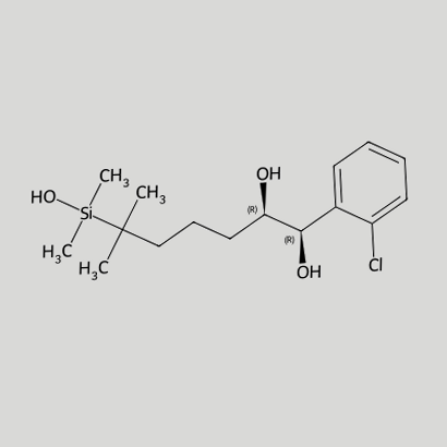 CC(C)(CCC[C@@H](O)[C@H](O)c1ccccc1Cl)[Si](C)(C)O